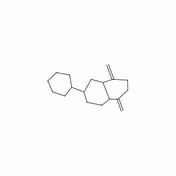 C=C1CCC(=C)C2CC(C3CCCCC3)CCC12